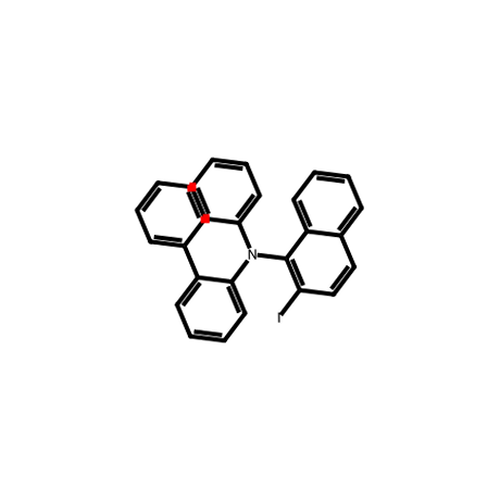 Ic1ccc2ccccc2c1N(c1ccccc1)c1ccccc1-c1ccccc1